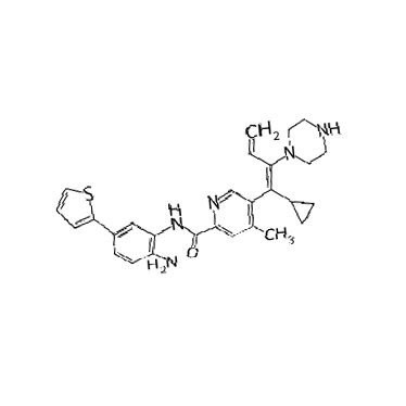 C=C/C(=C(\c1cnc(C(=O)Nc2cc(-c3cccs3)ccc2N)cc1C)C1CC1)N1CCNCC1